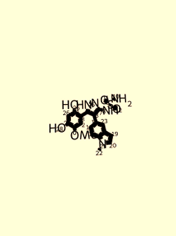 COc1cc(-c2[nH]nc(NS(N)(=O)=O)c2-c2ccc3c(ccn3C)c2)c(O)cc1O